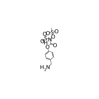 CS(=O)(=O)ON(C(=O)Oc1ccc(CN)cc1)[SH](=O)=O